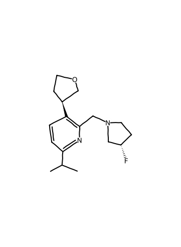 CC(C)c1ccc([C@H]2CCOC2)c(CN2CC[C@H](F)C2)n1